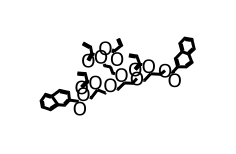 C=CC(=O)OCC(COC(COCC(COC(=O)c1ccc2ccccc2c1)OC(=O)C=C)COCC(COC(=O)c1ccc2ccccc2c1)OC(=O)C=C)OC(=O)C=C